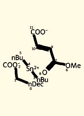 CCCCCCCCCCCC(=O)[O-].CCC[CH2][Sn+2][CH2]CCC.COC(=O)C=CC(=O)[O-]